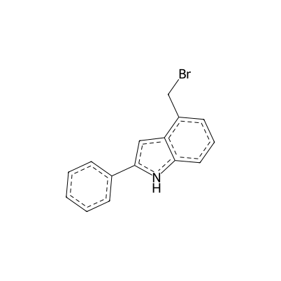 BrCc1cccc2[nH]c(-c3ccccc3)cc12